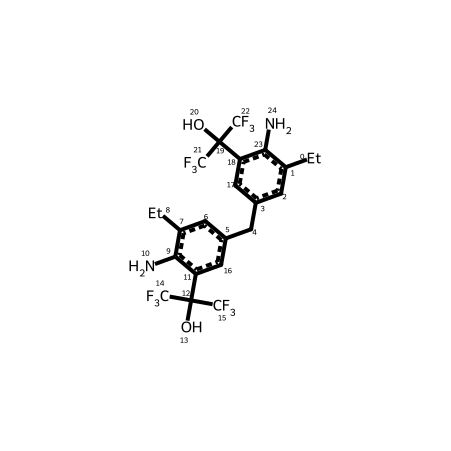 CCc1cc(Cc2cc(CC)c(N)c(C(O)(C(F)(F)F)C(F)(F)F)c2)cc(C(O)(C(F)(F)F)C(F)(F)F)c1N